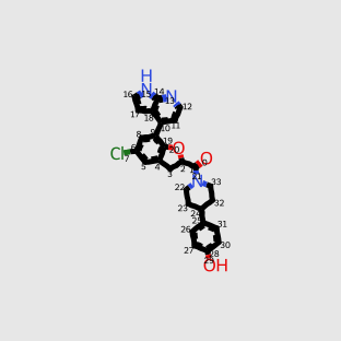 O=C(C1Cc2cc(Cl)cc(-c3ccnc4[nH]ccc34)c2O1)N1CCC(c2ccc(O)cc2)CC1